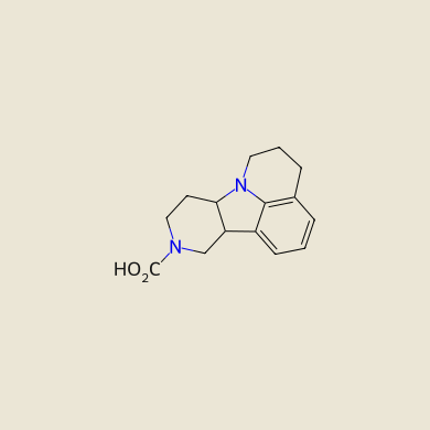 O=C(O)N1CCC2C(C1)c1cccc3c1N2CCC3